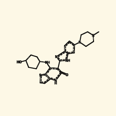 CN1CCN(c2ccc3nc(-c4c(NC5CCC(O)CC5)c5sccc5[nH]c4=O)[nH]c3c2)CC1